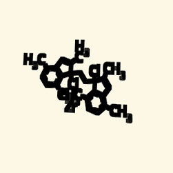 CC1=Cc2c(C)ccc(C)c2C1(Cl)CCC1(Cl)C(C)=Cc2c(C)ccc(C)c21.[Zr]